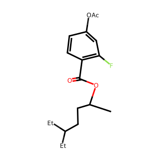 CCC(CC)CCC(C)OC(=O)c1ccc(OC(C)=O)cc1F